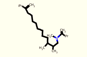 C=C(CCCCCCCCC(C)C(C)CN(C)C(=C)C(C)C)C(C)C